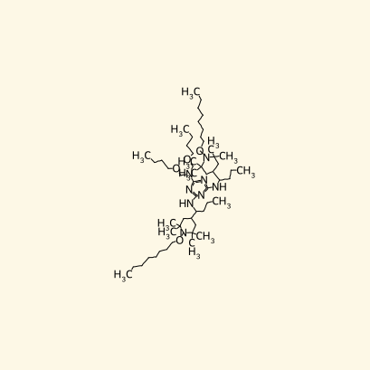 CCCCCCCCON1C(C)(C)CC(C(CCC)Nc2nc(NC(CCC)C3CC(C)(C)N(OCCCCCCCC)C(C)(C)C3)nc(N(COCCCC)COCCCC)n2)CC1(C)C